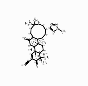 Cn1nnc([C@H]2CCC(C)(C)CCC3C(=O)C[C@@H]4[C@@]5(C)C=C(C#N)C(=O)C(C)(C)[C@@H]5CC[C@@]4(C)[C@]3(C)CC2)n1